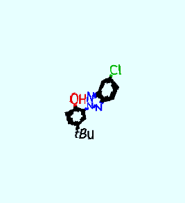 CC(C)(C)c1ccc(O)c(-n2nc3ccc(Cl)cc3n2)c1